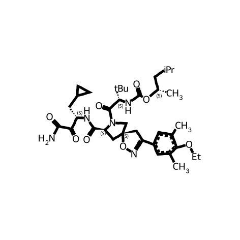 CCOc1c(C)cc(C2=NO[C@]3(C2)C[C@@H](C(=O)N[C@@H](CC2CC2)C(=O)C(N)=O)N(C(=O)[C@@H](NC(=O)O[C@@H](C)CC(C)C)C(C)(C)C)C3)cc1C